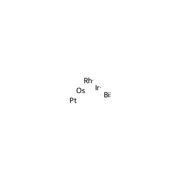 [Bi].[Ir].[Os].[Pt].[Rh]